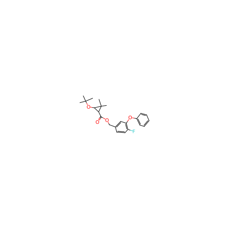 CC(C)(C)OC1C(C(=O)OCc2ccc(F)c(Oc3ccccc3)c2)C1(C)C